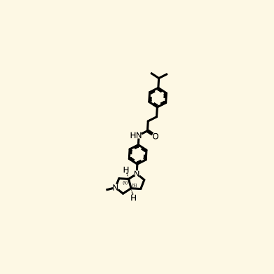 CC(C)c1ccc(CCC(=O)Nc2ccc(N3CC[C@H]4CN(C)C[C@H]43)cc2)cc1